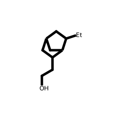 CCC1CC2CC(CCO)C1C2